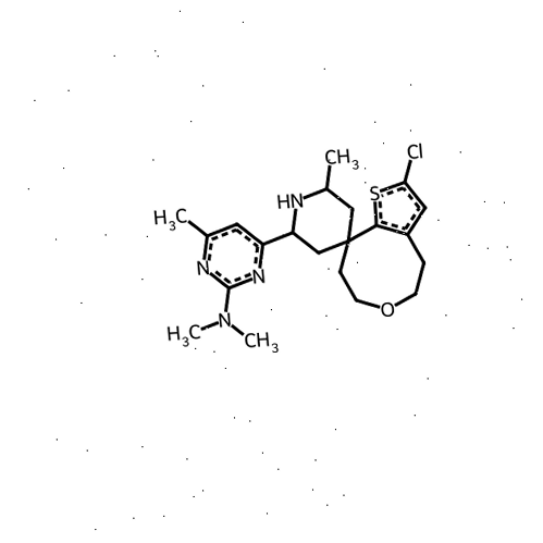 Cc1cc(C2CC3(CCOCCc4cc(Cl)sc43)CC(C)N2)nc(N(C)C)n1